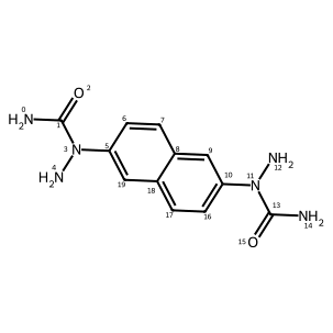 NC(=O)N(N)c1ccc2cc(N(N)C(N)=O)ccc2c1